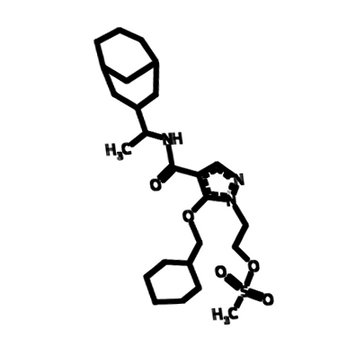 CC(NC(=O)c1cnn(CCOS(C)(=O)=O)c1OCC1CCCCC1)C1CC2CCCC(C2)C1